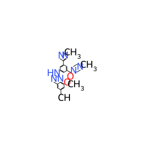 C#Cc1cc(OC)c2nc(Nc3cc(C(=O)N4CCN(C)CC4)cc(-c4cnn(C)c4)c3)ncc2c1